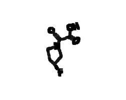 O=C(O)C(=O)N1CC[C@H](F)C1